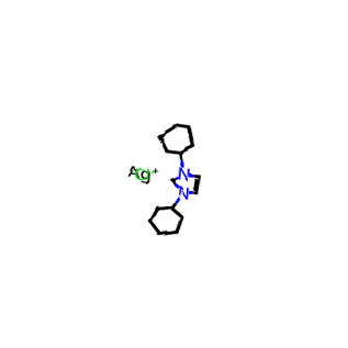 C1=CN(C2CCCCC2)CN1C1CCCCC1.[Ag+].[Cl-]